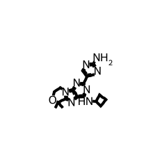 CC1(C)OCCn2c1nc1c(NC3CCC3)nc(-c3cnc(N)nc3)nc12